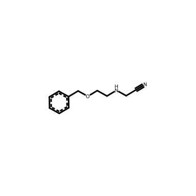 N#CCNCCOCc1ccccc1